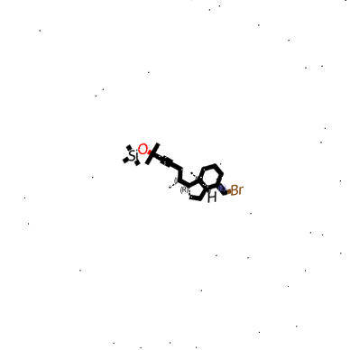 C[C@H](CC#CC(C)(C)O[Si](C)(C)C)[C@H]1CC[C@H]2/C(=C/Br)CCC[C@]12C